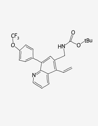 C=Cc1c(CNC(=O)OC(C)(C)C)cc(-c2ccc(OC(F)(F)F)cc2)c2ncccc12